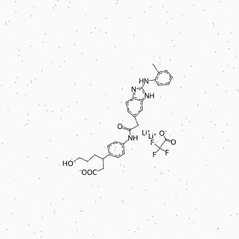 Cc1ccccc1Nc1nc2ccc(CC(=O)Nc3ccc(C(CCCO)CC(=O)[O-])cc3)cc2[nH]1.O=C([O-])C(F)(F)F.[Li+].[Li+]